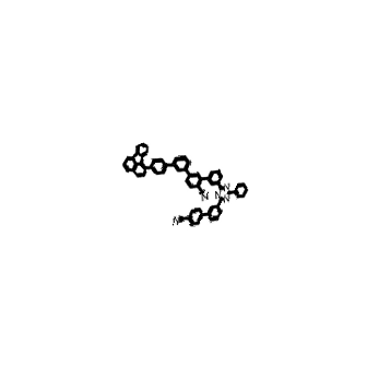 N#Cc1ccc(-c2cccc(-c3nc(-c4ccccc4)nc(-c4cccc(-c5cc(-c6cccc(-c7ccc(-c8ccc9cccc%10c9c8-c8ccccc8-%10)cc7)c6)ccc5C#N)c4)n3)c2)cc1